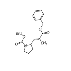 CC(=CC1CCCN1C(=O)OC(C)(C)C)C(=O)OCc1ccccc1